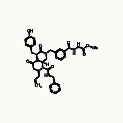 C=CCN1CC(=O)N2[C@@H](Cc3ccc(O)cc3)C(=O)N(Cc3cccc(C(=O)NNC(=O)OC(C)(C)C)c3)C[C@@H]2N1C(=O)NCc1ccccc1